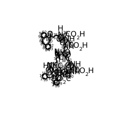 [N-]=[N+]=NCCCC[C@H](NC(=O)[C@H](Cc1ccccc1)NC(=O)[C@H](Cc1ccccc1)NC(=O)[C@H](CC(=O)O)NC(=O)[C@H](CC(=O)O)NC(=O)[C@H](CC(=O)O)NC(=O)CNC(=O)CNC(=O)CNC(=O)[C@H](CC(=O)O)NC(=O)[C@H](CC(=O)O)NC(=O)CCC(=O)N1Cc2ccccc2C#Cc2ccccc21)C(N)=O